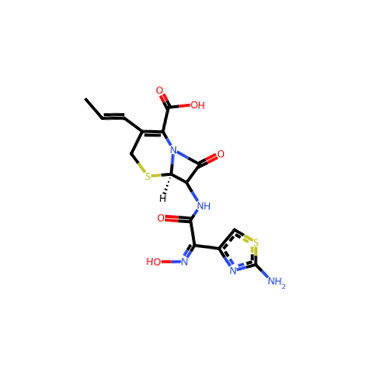 C/C=C/C1=C(C(=O)O)N2C(=O)C(NC(=O)/C(=N\O)c3csc(N)n3)[C@H]2SC1